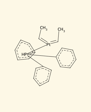 C/[CH]=[Pt](=[CH]\C)/[PH](c1ccccc1)(c1ccccc1)c1ccccc1